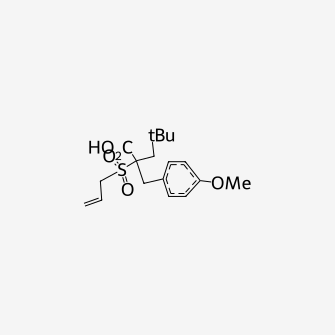 C=CCS(=O)(=O)C(Cc1ccc(OC)cc1)(CC(C)(C)C)C(=O)O